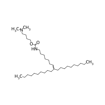 CCCCCCCCCCC(=CCCCCCCNC(=O)OCCCCN(C)C)CCCCCCCCCC